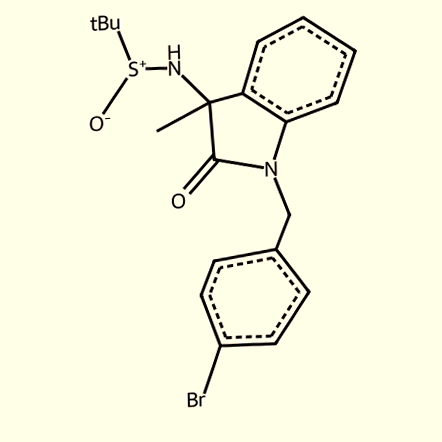 CC1(N[S+]([O-])C(C)(C)C)C(=O)N(Cc2ccc(Br)cc2)c2ccccc21